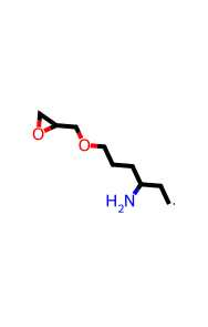 [CH2]CC(N)CCCOCC1CO1